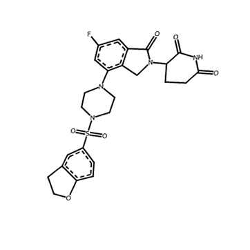 O=C1CCC(N2Cc3c(cc(F)cc3N3CCN(S(=O)(=O)c4ccc5c(c4)CCO5)CC3)C2=O)C(=O)N1